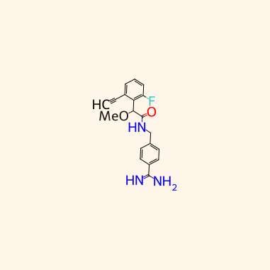 C#Cc1cccc(F)c1C(OC)C(=O)NCc1ccc(C(=N)N)cc1